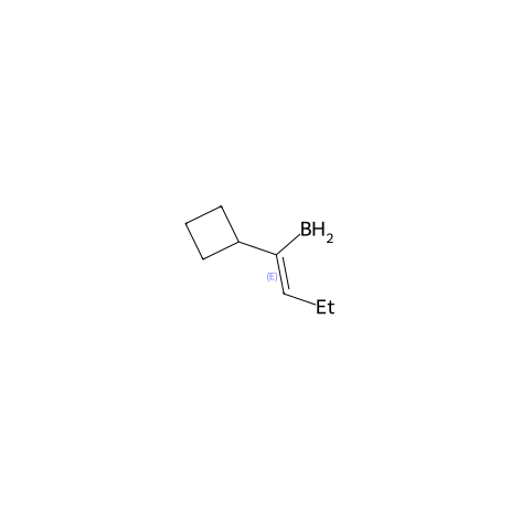 B/C(=C\CC)C1CCC1